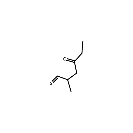 CCC(=O)CC(C)C=S